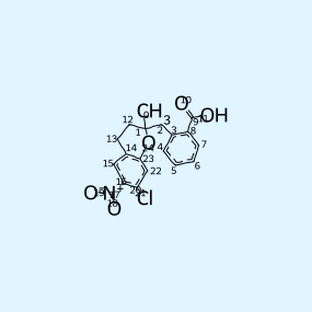 CC1(Cc2ccccc2C(=O)O)CCc2cc([N+](=O)[O-])c(Cl)cc2O1